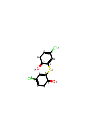 O=C1CC=C(Cl)C=C1SC1=CC(Cl)=CCC1=O